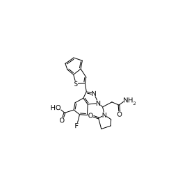 NC(=O)CC(N1CCCC1=O)n1nc(-c2cc3ccccc3s2)c2cc(C(=O)O)c(F)cc21